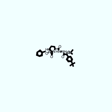 C[SiH](C)OC(C(=O)NNC(=O)[C@@H]1CC[C@@H]2CN1C(=O)N2OCc1ccccc1)c1ccc(C(C)(C)C)cc1